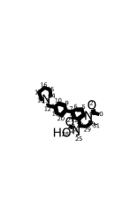 CC(=O)N1c2ccc(-c3ccc(CN4CCCCC4)cc3)cc2[C@@H](N(C)C(=O)O)C[C@H]1C